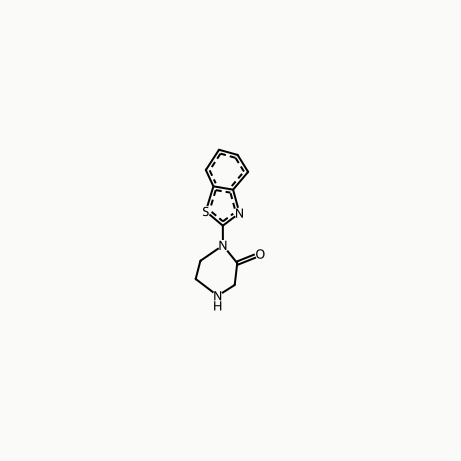 O=C1CNCCN1c1nc2ccccc2s1